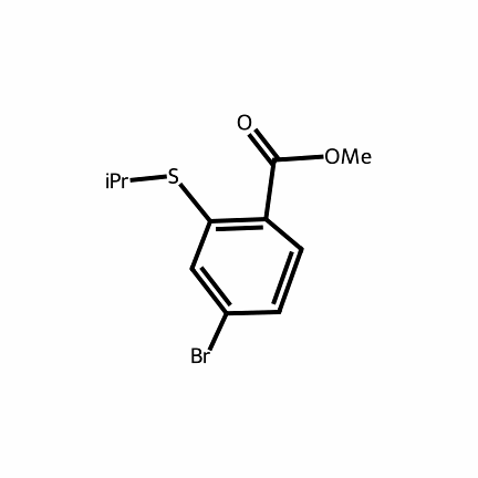 COC(=O)c1ccc(Br)cc1SC(C)C